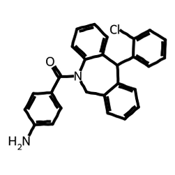 Nc1ccc(C(=O)N2Cc3ccccc3C(c3ccccc3Cl)c3ccccc32)cc1